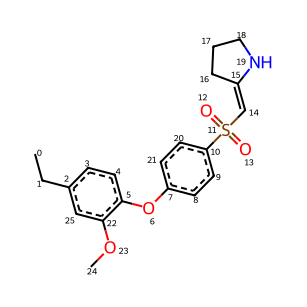 CCc1ccc(Oc2ccc(S(=O)(=O)C=C3CCCN3)cc2)c(OC)c1